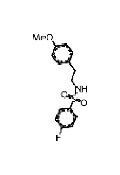 COc1ccc(CCNS(=O)(=O)c2ccc(F)cc2)cc1